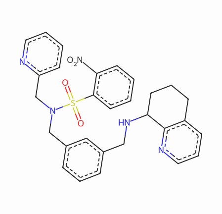 O=[N+]([O-])c1ccccc1S(=O)(=O)N(Cc1cccc(CNC2CCCc3cccnc32)c1)Cc1ccccn1